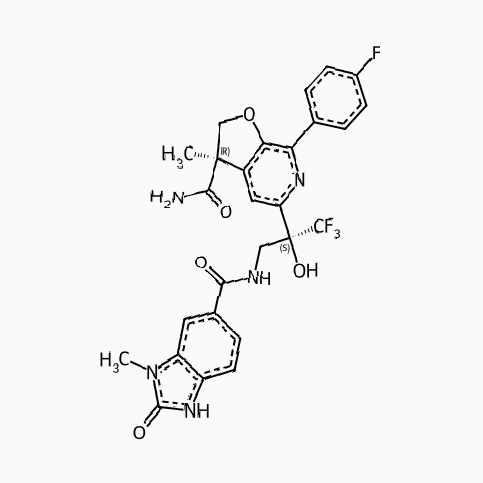 Cn1c(=O)[nH]c2ccc(C(=O)NC[C@](O)(c3cc4c(c(-c5ccc(F)cc5)n3)OC[C@]4(C)C(N)=O)C(F)(F)F)cc21